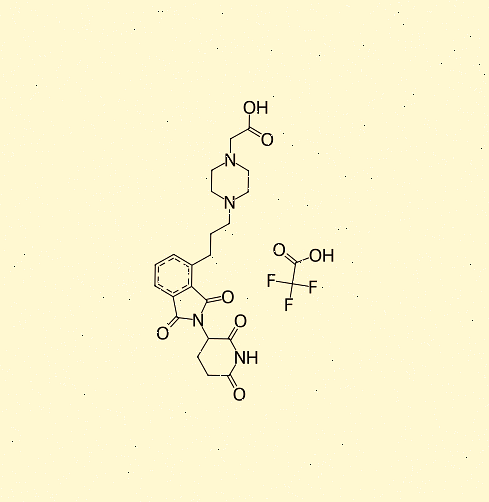 O=C(O)C(F)(F)F.O=C(O)CN1CCN(CCCc2cccc3c2C(=O)N(C2CCC(=O)NC2=O)C3=O)CC1